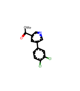 COC(=O)c1cncc(-c2ccc(Cl)c(Cl)c2)c1